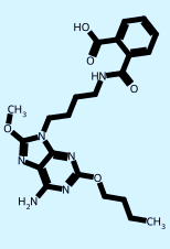 CCCCOc1nc(N)c2nc(OC)n(CCCCNC(=O)c3ccccc3C(=O)O)c2n1